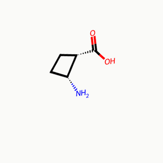 N[C@@H]1CC[C@@H]1C(=O)O